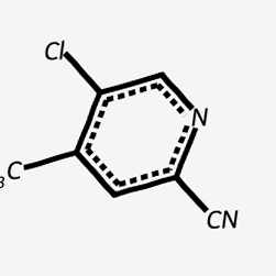 N#Cc1cc(C(F)(F)F)c(Cl)cn1